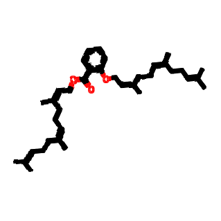 CC(C)=CCCC(C)=CCCC(C)=CCOC(=O)c1ccccc1OCC=C(C)CCC=C(C)CCC=C(C)C